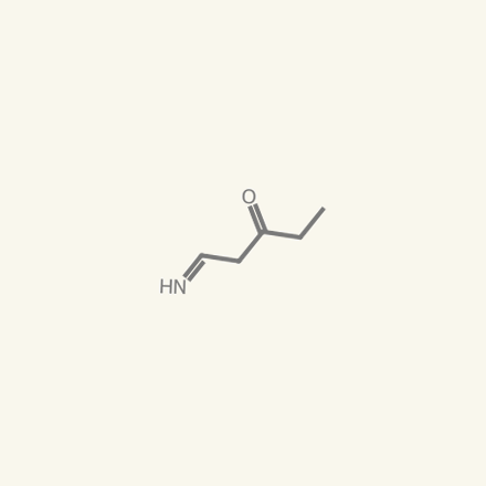 CCC(=O)CC=N